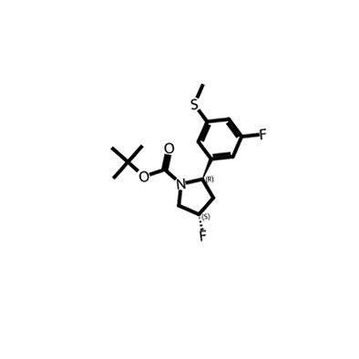 CSc1cc(F)cc([C@H]2C[C@H](F)CN2C(=O)OC(C)(C)C)c1